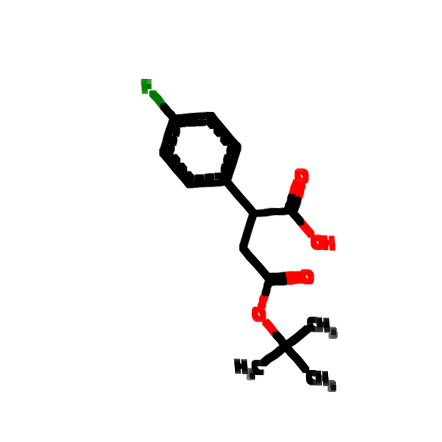 CC(C)(C)OC(=O)CC(C(=O)O)c1ccc(F)cc1